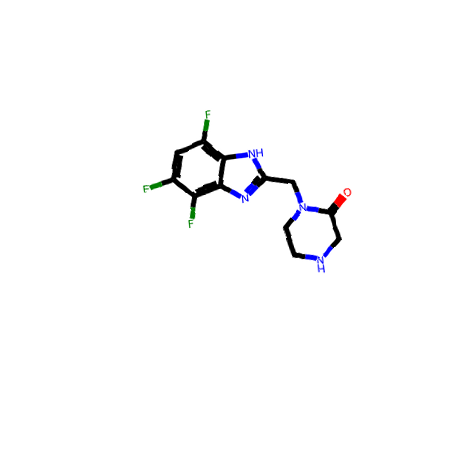 O=C1CNCCN1Cc1nc2c(F)c(F)cc(F)c2[nH]1